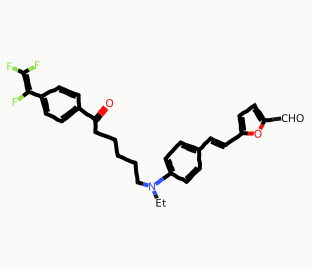 CCN(CCCCCC(=O)c1ccc(C(F)=C(F)F)cc1)c1ccc(C=Cc2ccc(C=O)o2)cc1